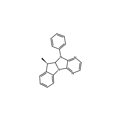 C[C@@H]1c2ccccc2N2c3nccnc3N(c3ccccc3)C12